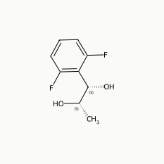 C[C@H](O)[C@@H](O)c1c(F)cccc1F